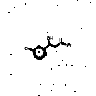 [CH2]CCNCC(O)c1cccc(Cl)c1